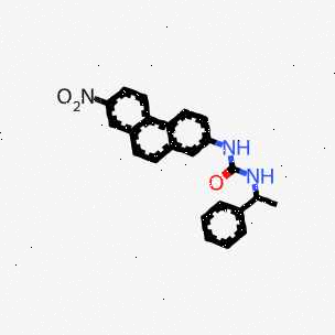 CC(NC(=O)Nc1ccc2c(ccc3cc([N+](=O)[O-])ccc32)c1)c1ccccc1